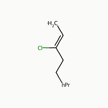 [CH2]/C=C(\Cl)CCCCC